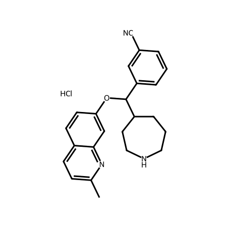 Cc1ccc2ccc(OC(c3cccc(C#N)c3)C3CCCNCC3)cc2n1.Cl